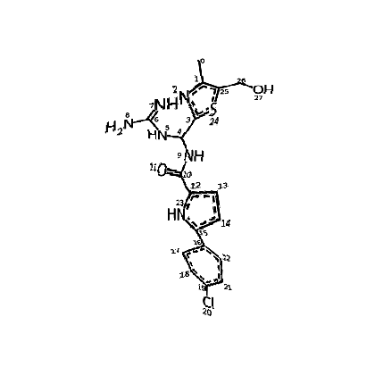 Cc1nc(C(NC(=N)N)NC(=O)c2ccc(-c3ccc(Cl)cc3)[nH]2)sc1CO